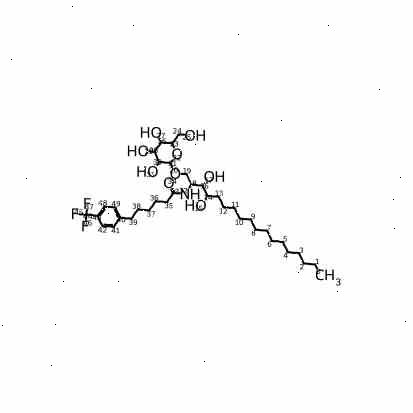 CCCCCCCCCCCCCC[C@@H](O)[C@@H](O)[C@H](COC1OC(CO)C(O)C(O)C1O)NC(=O)CCCCCc1ccc(C(F)(F)F)cc1